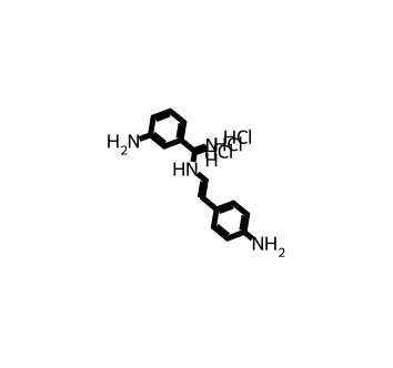 Cl.Cl.Cl.N=C(NC=Cc1ccc(N)cc1)c1cccc(N)c1